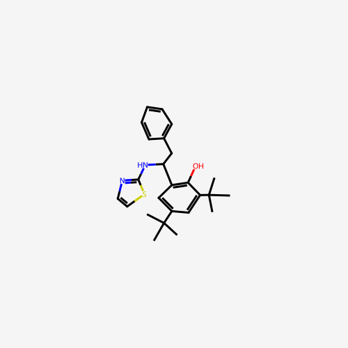 CC(C)(C)c1cc(C(Cc2ccccc2)Nc2nccs2)c(O)c(C(C)(C)C)c1